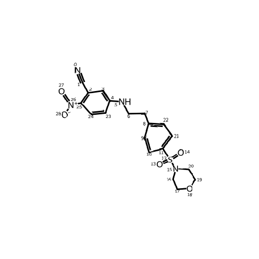 N#Cc1cc(NCCc2ccc(S(=O)(=O)N3CCOCC3)cc2)ccc1[N+](=O)[O-]